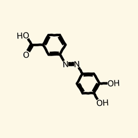 O=C(O)c1cccc(/N=N/c2ccc(O)c(O)c2)c1